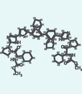 COC(=O)N[C@H](C(=O)N1CCC[C@H]1c1ncc(-c2ccc(-c3ccc(-c4ccc(-c5cnc([C@@H]6CCCN6C(=O)[C@@H](NC(=O)OC)C6CCCCC6)[nH]5)c5c4C4CCC5O4)c4c3C3CCC4C3)s2)[nH]1)C1CCCCC1